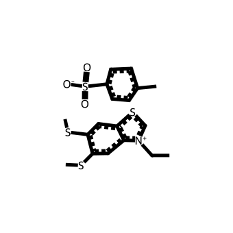 CC[n+]1csc2cc(SC)c(SC)cc21.Cc1ccc(S(=O)(=O)[O-])cc1